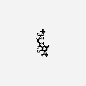 C[C@@H](CNC(=O)c1cc(F)cc([N+](=O)[O-])c1Br)NC(=O)OC(C)(C)C